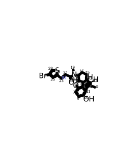 CN1CC[C@@]23c4c5ccc(O)c4C[C@@H]1[C@@H]2CC[C@H](N(C)C(=O)/C=C/c1cc(Br)cs1)[C@@H]3O5